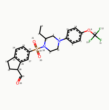 CCC1CN(c2ccc(OC(F)(F)F)cc2)CCN1S(=O)(=O)c1ccc2c(c1)C(C=O)CC2